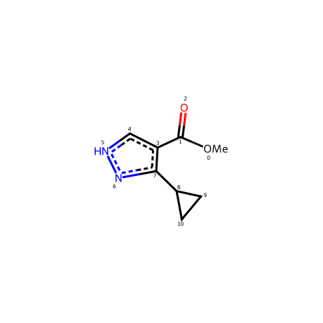 COC(=O)c1c[nH]nc1C1CC1